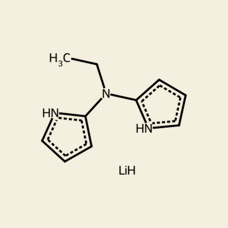 CCN(c1ccc[nH]1)c1ccc[nH]1.[LiH]